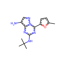 Cc1ccc(-c2nc(NC(C)(C)C)nc3c(N)cnn23)o1